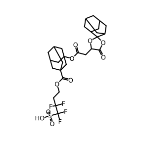 O=C(CC1OC2(OC1=O)C1CC3CC(C1)CC2C3)OC12CC3CC(C1)CC(C(=O)OCCC(F)(F)C(F)(F)S(=O)(=O)O)(C3)C2